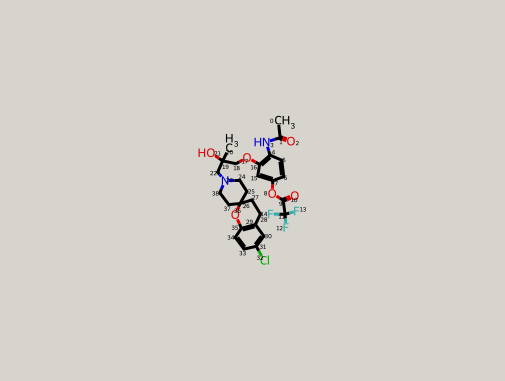 CC(=O)Nc1ccc(OC(=O)C(F)(F)F)cc1OCC(C)(O)CN1CCC2(CCc3cc(Cl)ccc3O2)CC1